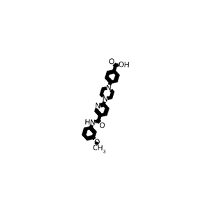 COc1cccc(NC(=O)c2ccc(N3CCN(c4ccc(C(=O)O)cc4)CC3)nc2)c1